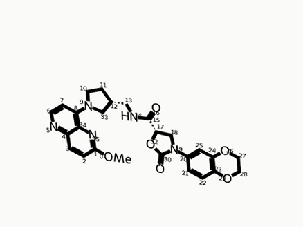 COc1ccc2nccc(N3CC[C@H](CNC(=O)[C@@H]4CN(c5ccc6c(c5)OCCO6)C(=O)O4)C3)c2n1